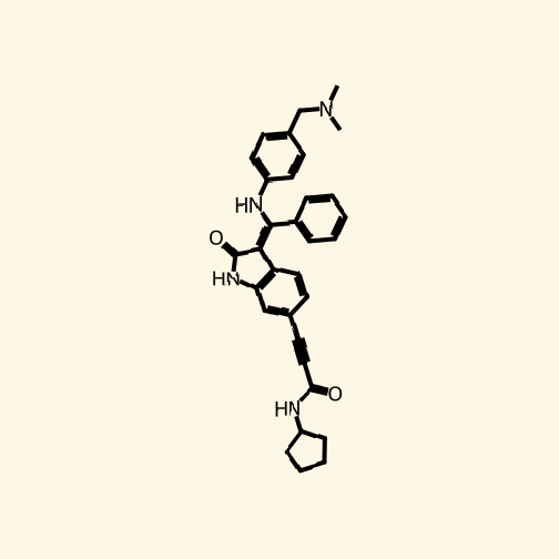 CN(C)Cc1ccc(N/C(=C2\C(=O)Nc3cc(C#CC(=O)NC4CCCC4)ccc32)c2ccccc2)cc1